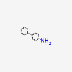 Nc1ccc(-c2[c]cccc2)cc1